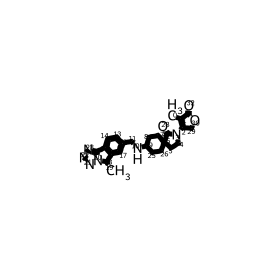 CC1=C(N2CCC3(CCC(NCc4ccc5c(c4)C(C)n4nnnc4-5)CC3)C2=O)COC1=O